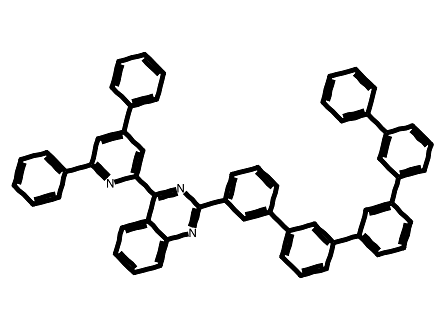 c1ccc(-c2cccc(-c3cccc(-c4cccc(-c5cccc(-c6nc(-c7cc(-c8ccccc8)cc(-c8ccccc8)n7)c7ccccc7n6)c5)c4)c3)c2)cc1